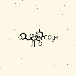 CC1C=C(C(=O)O)N2C(=O)C(NC(=O)CC3=CCCOC3)[C@H]2S1